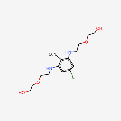 O=[N+]([O-])c1c(NCCOCCO)cc(Cl)cc1NCCOCCO